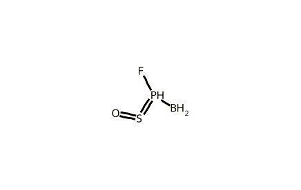 B[PH](F)=S=O